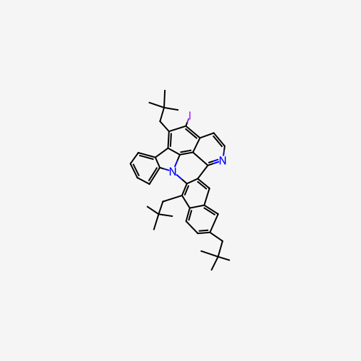 CC(C)(C)Cc1ccc2c(CC(C)(C)C)c3c(cc2c1)c1nccc2c(I)c(CC(C)(C)C)c4c5ccccc5n3c4c21